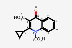 O=C(O)c1c(C2CC2)n(C(=O)O)c2ccccc2c1=O